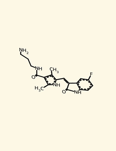 Cc1[nH]c(/C=C2\C(=O)Nc3ccc(F)cc32)c(C)c1C(=O)NCCCN